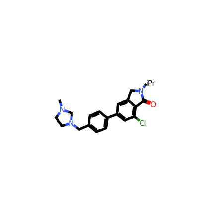 CC(C)N1Cc2cc(-c3ccc(CN4CCN(C)C4)cc3)cc(Cl)c2C1=O